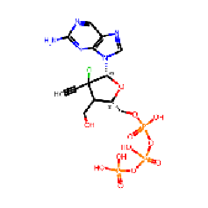 C#CC1(Cl)C(CO)[C@@H](COP(=O)(O)OP(=O)(O)OP(=O)(O)O)O[C@H]1n1cnc2cnc(N)nc21